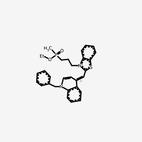 CCOP(C)(=O)CCC[n+]1c(/C=C2\C=CN(Cc3ccccc3)c3ccccc32)sc2ccccc21